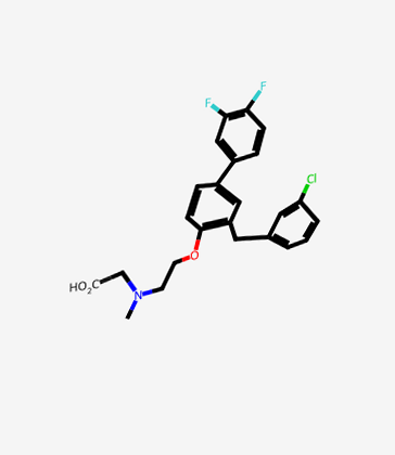 CN(CCOc1ccc(-c2ccc(F)c(F)c2)cc1Cc1cccc(Cl)c1)CC(=O)O